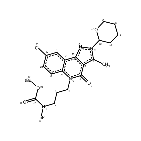 CCCN(CCCn1c(=O)c2c(C)n(C3CCCCO3)nc2c2cc(Cl)ccc21)C(=O)OC(C)(C)C